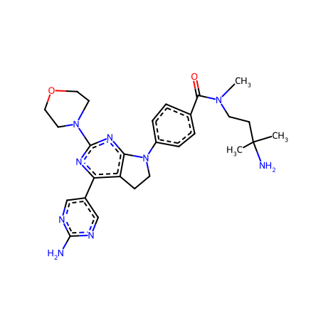 CN(CCC(C)(C)N)C(=O)c1ccc(N2CCc3c(-c4cnc(N)nc4)nc(N4CCOCC4)nc32)cc1